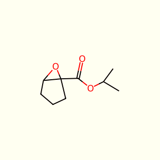 CC(C)OC(=O)C12CCCC1O2